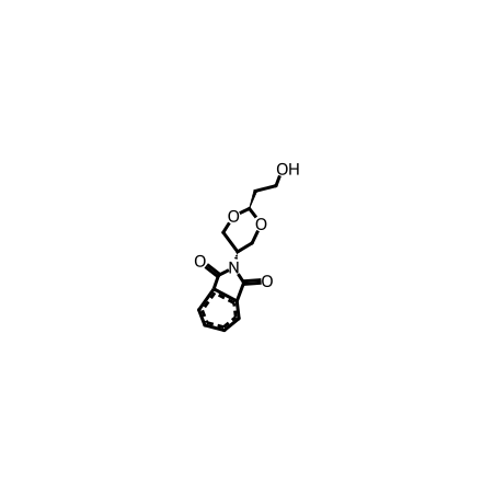 O=C1c2ccccc2C(=O)N1[C@H]1CO[C@H](CCO)OC1